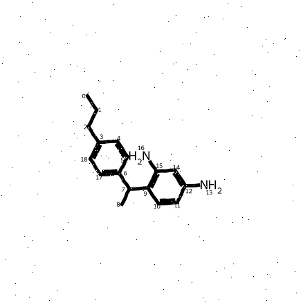 CCCc1ccc(C(C)c2ccc(N)cc2N)cc1